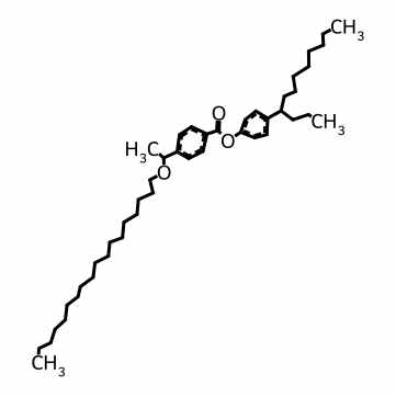 CCCCCCCCCCCCCCCCCCOC(C)c1ccc(C(=O)Oc2ccc(C(CCC)CCCCCCCC)cc2)cc1